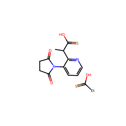 CC(C(O)=S)c1ncccc1N1C(=O)CCC1=O.CCC(O)=S